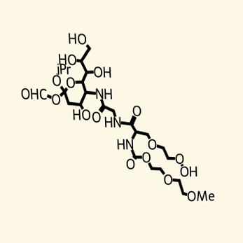 COCCOCCOC(=O)NC(COCCOO)C(=O)NCC(=O)NC1C(O)CC(OC=O)(OC(C)C)OC1C(O)C(O)CO